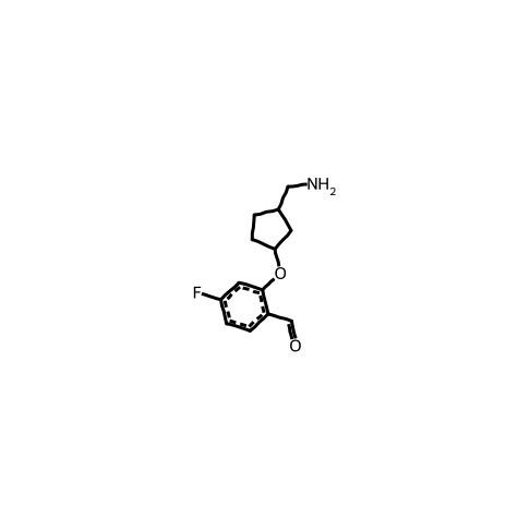 NCC1CCC(Oc2cc(F)ccc2C=O)C1